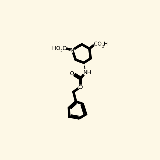 O=C(N[C@H]1CC(C(=O)O)CN(C(=O)O)C1)OCc1ccccc1